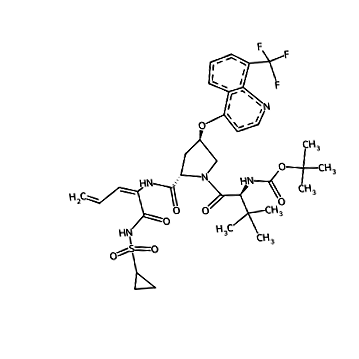 C=C/C=C(/NC(=O)[C@@H]1C[C@@H](Oc2ccnc3c(C(F)(F)F)cccc23)CN1C(=O)[C@@H](NC(=O)OC(C)(C)C)C(C)(C)C)C(=O)NS(=O)(=O)C1CC1